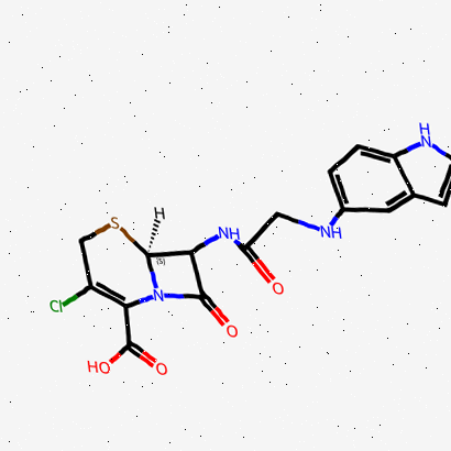 O=C(CNc1ccc2[nH]ccc2c1)NC1C(=O)N2C(C(=O)O)=C(Cl)CS[C@@H]12